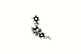 Cc1ccc(S(=O)(=O)N2CSC=C2C(=O)OCc2ccccc2)cc1